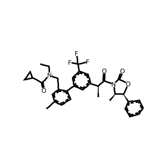 CCN(Cc1cc(C)ccc1-c1cc([C@H](C)C(=O)N2C(=O)O[C@@H](c3ccccc3)[C@H]2C)cc(C(F)(F)F)c1)C(=O)C1CC1